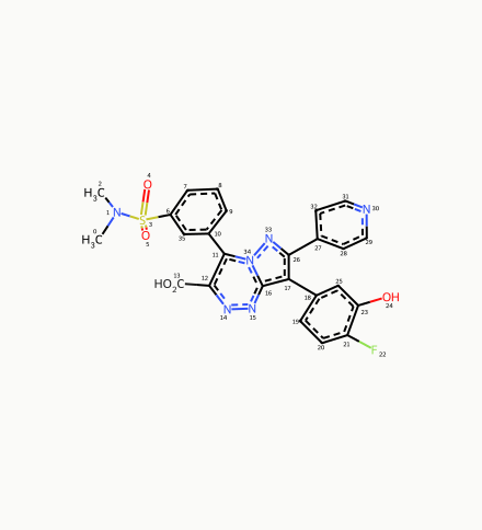 CN(C)S(=O)(=O)c1cccc(-c2c(C(=O)O)nnc3c(-c4ccc(F)c(O)c4)c(-c4ccncc4)nn23)c1